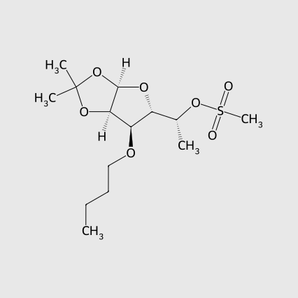 CCCCO[C@H]1[C@H]2OC(C)(C)O[C@H]2O[C@@H]1[C@@H](C)OS(C)(=O)=O